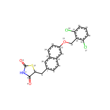 O=C1NC(=O)C(Cc2ccc3cc(OCc4c(Cl)cccc4Cl)ccc3c2)S1